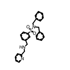 O=S(=O)(c1cccc(CNCc2ccccn2)c1)N(Cc1ccccc1)Cc1ccccc1